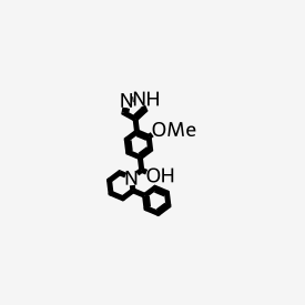 COc1cc(C(O)N2CCCCC2c2ccccc2)ccc1-c1cn[nH]c1